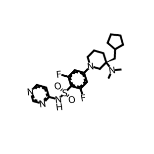 CN(C)[C@@]1(CC2CCCC2)CCCN(c2cc(F)c(S(=O)(=O)Nc3ccncn3)c(F)c2)C1